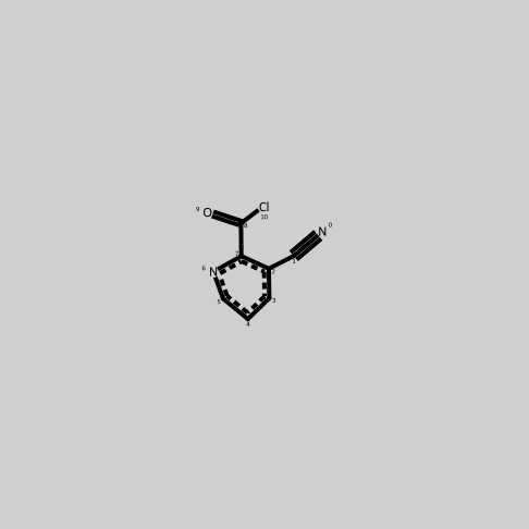 N#Cc1cccnc1C(=O)Cl